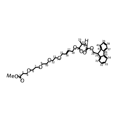 COC(=O)CCOCCOCCOCCOC/C=C/COC(=O)C(C)NC(=O)OCC1c2ccccc2-c2ccccc21